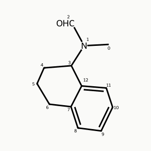 CN(C=O)C1CCCc2ccccc21